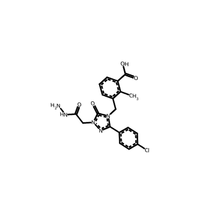 Cc1c(Cn2c(-c3ccc(Cl)cc3)nn(CC(=O)NN)c2=O)cccc1C(=O)O